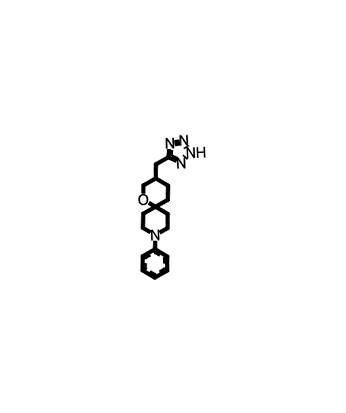 c1ccc(N2CCC3(CCC(Cc4nn[nH]n4)CO3)CC2)cc1